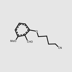 COc1cccc(OCCCCC#N)c1C=O